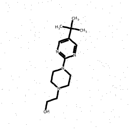 CC(C)(C)c1cnc(N2CCN(CCO)CC2)nc1